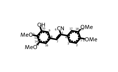 COc1ccc(/C(C#N)=C/c2cc(O)c(OC)c(OC)c2)cc1OC